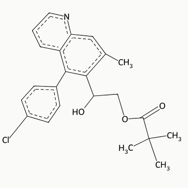 Cc1cc2ncccc2c(-c2ccc(Cl)cc2)c1C(O)COC(=O)C(C)(C)C